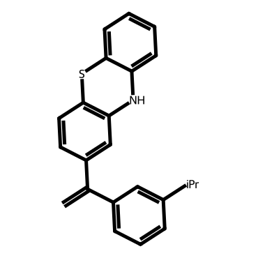 C=C(c1cccc(C(C)C)c1)c1ccc2c(c1)Nc1ccccc1S2